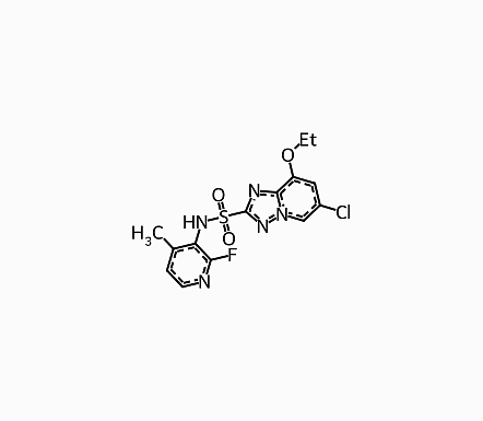 CCOc1cc(Cl)cn2nc(S(=O)(=O)Nc3c(C)ccnc3F)nc12